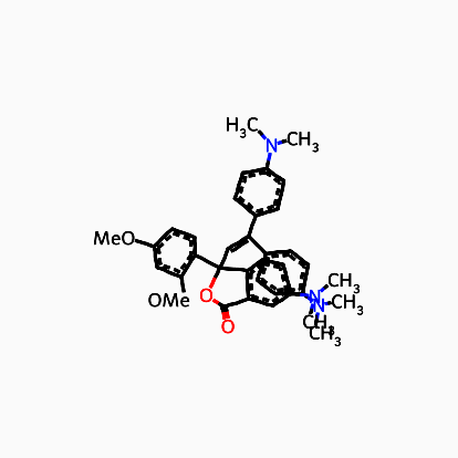 COc1ccc(C2(C=C(c3ccc(N(C)C)cc3)c3ccc(N(C)C)cc3)OC(=O)c3cc(N(C)C)ccc32)c(OC)c1